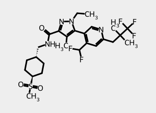 CCn1nc(C(=O)NC[C@H]2CC[C@H](S(C)(=O)=O)CC2)c(C)c1-c1cnc(CC(C)(C)C(F)(F)F)cc1C(F)F